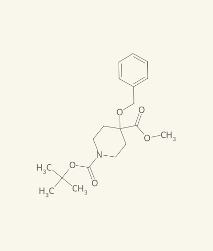 COC(=O)C1(OCc2ccccc2)CCN(C(=O)OC(C)(C)C)CC1